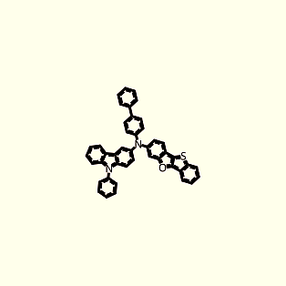 c1ccc(-c2ccc(N(c3ccc4c(c3)oc3c5ccccc5sc43)c3ccc4c(c3)c3ccccc3n4-c3ccccc3)cc2)cc1